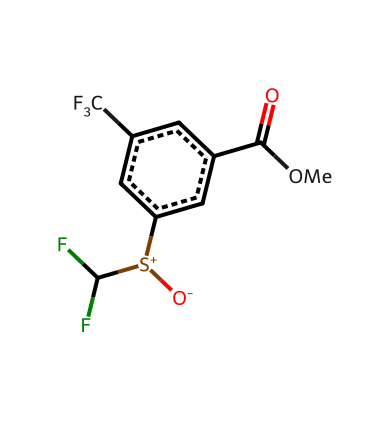 COC(=O)c1cc([S+]([O-])C(F)F)cc(C(F)(F)F)c1